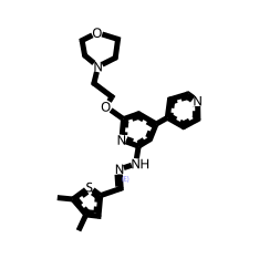 Cc1cc(/C=N/Nc2cc(-c3ccncc3)cc(OCCN3CCOCC3)n2)sc1C